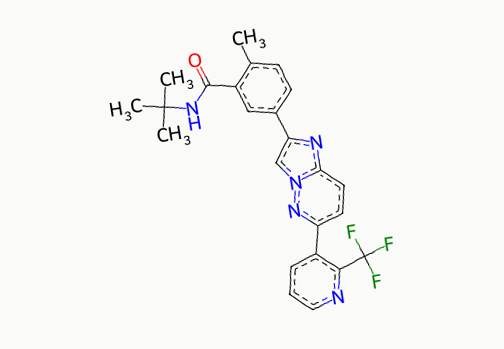 Cc1ccc(-c2cn3nc(-c4cccnc4C(F)(F)F)ccc3n2)cc1C(=O)NC(C)(C)C